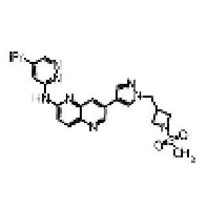 CC(C)c1cnnc(Nc2ccc3ncc(-c4cnn(CC5CN(S(C)(=O)=O)C5)c4)cc3n2)c1